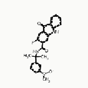 C[S+]([O-])c1cccc(C(C)(C)NC(=O)c2cc3[nH]c4ccccc4c(=O)c3cc2F)c1